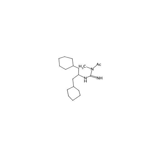 CC(=O)N(C)C(=N)NC(CC1CCCCC1)CC1CCCCC1